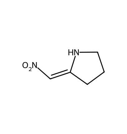 O=[N+]([O-])C=C1CCCN1